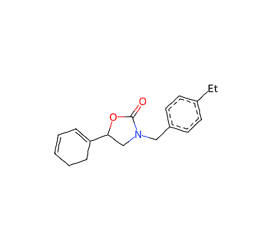 CCc1ccc(CN2CC(C3=CC=CCC3)OC2=O)cc1